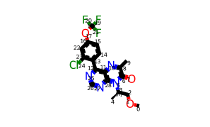 COC[C@@H](C)n1c(=O)c(C)nc2c(-c3ccc(OC(F)(F)F)cc3Cl)ncnc21